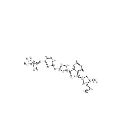 C[C@H]1C[C@H](Nc2ncncc2C(=O)c2cc(Cc3cccc(C#C[Si](C)(C)C)c3)cs2)C[C@@H]1CO